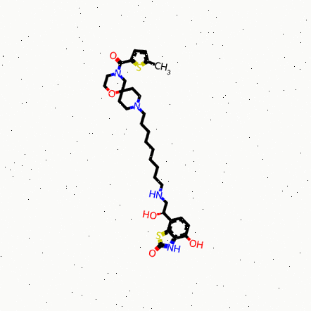 Cc1ccc(C(=O)N2CCOC3(CCN(CCCCCCCCCNC[C@H](O)c4ccc(O)c5[nH]c(=O)sc45)CC3)C2)s1